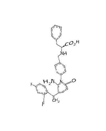 C=C(c1ccc(F)cc1F)c1ccc(=O)n(-c2ccc(CN[C@@H](Cc3ccccc3)C(=O)O)cc2)c1N